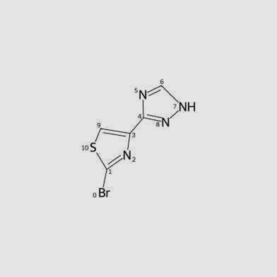 Brc1nc(-c2nc[nH]n2)cs1